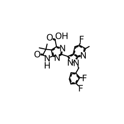 Cc1nc2c(cc1F)c(-c1nc3c(c(C(=O)O)n1)C(C)(C)C(=O)N3)nn2Cc1cccc(F)c1F